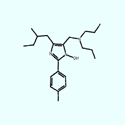 CCCN(CCC)Cc1c(CC(C)CC)nc(-c2ccc(C)cc2)n1O